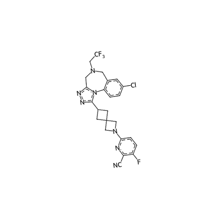 N#Cc1nc(N2CC3(CC(c4nnc5n4-c4ccc(Cl)cc4CN(CC(F)(F)F)C5)C3)C2)ccc1F